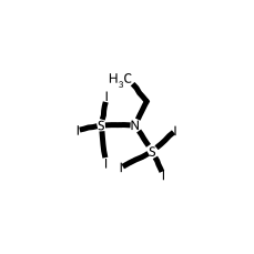 CCN(S(I)(I)I)S(I)(I)I